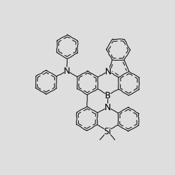 C[Si]1(C)c2ccccc2N2B3c4c(cc(N(c5ccccc5)c5ccccc5)cc4-n4c5ccccc5c5cccc3c54)-c3cccc1c32